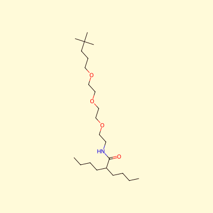 CCCCC(CCCC)C(=O)NCCOCCOCCOCCCC(C)(C)C